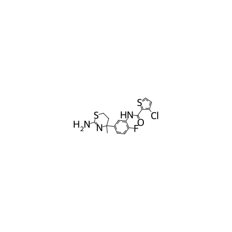 CC1(c2ccc(F)c(NC(=O)c3sccc3Cl)c2)CCSC(N)=N1